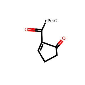 CCCCCC(=O)C1=CCCC1=O